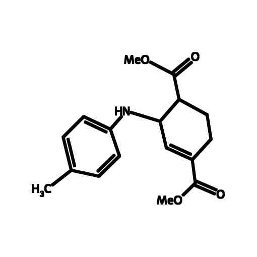 COC(=O)C1=CC(Nc2ccc(C)cc2)C(C(=O)OC)CC1